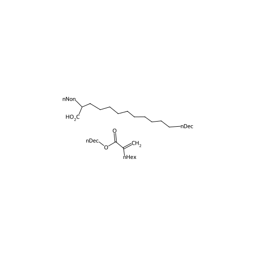 C=C(CCCCCC)C(=O)OCCCCCCCCCC.CCCCCCCCCCCCCCCCCCCCC(CCCCCCCCC)C(=O)O